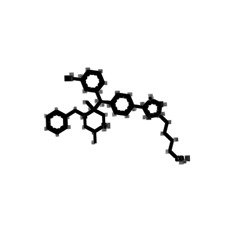 CC1CN(Cc2ccccc2)C(C)([C@H](c2ccc(-c3nnn(CCCCC(=O)O)n3)cc2)c2cccc(O)c2)CN1